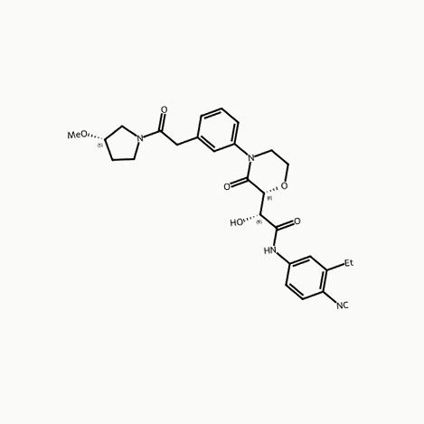 [C-]#[N+]c1ccc(NC(=O)[C@H](O)[C@H]2OCCN(c3cccc(CC(=O)N4CC[C@H](OC)C4)c3)C2=O)cc1CC